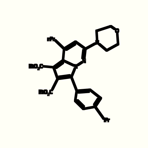 CCCc1cc(N2CCOCC2)nn2c(-c3ccc(C(C)C)cc3)c(C(=O)OCC)c(C(=O)OCC)c12